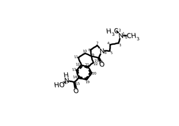 CN(C)CCCN1CCC2(CCc3cc(C(=O)NO)ccc3C2)C1=O